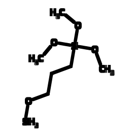 CO[Si](CCCO[SiH3])(OC)OC